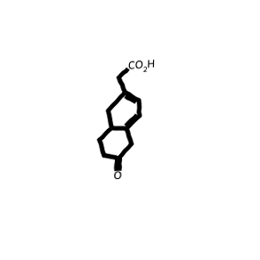 O=C(O)CC1=CC=C2CC(=O)CCC2C1